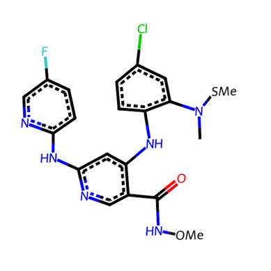 CONC(=O)c1cnc(Nc2ccc(F)cn2)cc1Nc1ccc(Cl)cc1N(C)SC